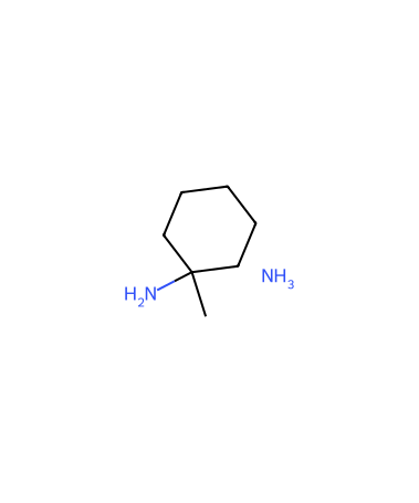 CC1(N)CCCCC1.N